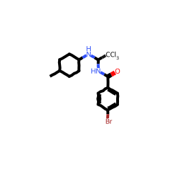 CC1CCC(NC(NC(=O)c2ccc(Br)cc2)C(Cl)(Cl)Cl)CC1